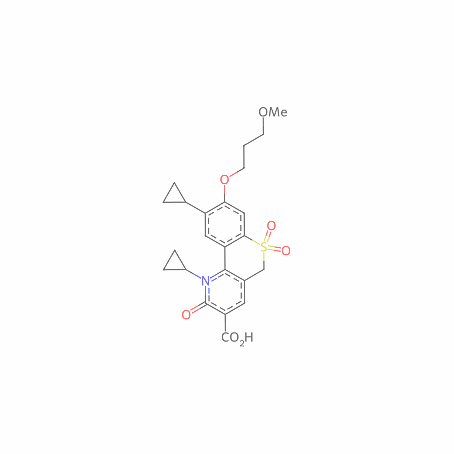 COCCCOc1cc2c(cc1C1CC1)-c1c(cc(C(=O)O)c(=O)n1C1CC1)CS2(=O)=O